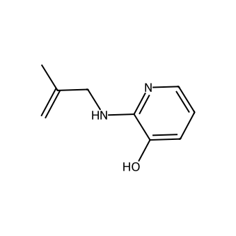 C=C(C)CNc1ncccc1O